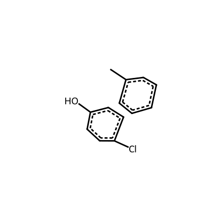 Cc1ccccc1.Oc1ccc(Cl)cc1